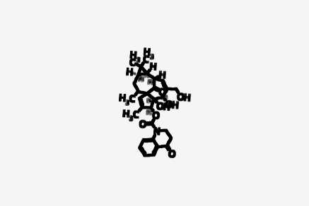 CC1=CC23C(=O)[C@@H](C=C(CO)[C@@H](O)[C@]2(O)[C@H]1OC(=O)N1CCC(=O)c2ccccc21)[C@@H]1[C@@H](CC3C)C1(C)C